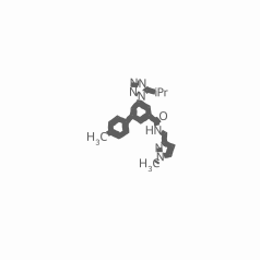 Cc1ccc(-c2cc(C(=O)NCc3ccn(C)n3)cc(-n3nnnc3C(C)C)c2)cc1